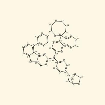 c1ccc(-c2cccc3sc4ccc(N(c5ccc(C6CC7CCC6C7)cc5)c5ccc(C6(c7ccccc7)CCCCCCC6)cc5)cc4c23)cc1